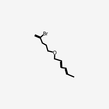 C=C(Br)CCCOC/C=C/C=C/C